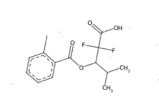 CC(C)C(OC(=O)c1ccccc1I)C(F)(F)C(=O)O